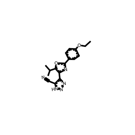 CCOc1ccc(-c2nc(-c3nn[nH]c3C#N)c(C(C)C)o2)cc1